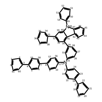 c1ccc(-c2ccc(-c3ccc(N(c4ccc(-c5ccccc5)cc4)c4cccc(-c5cc(-c6ccccc6)cc6c5c5ccccc5n6-c5ccccc5)c4)cc3)cc2)cc1